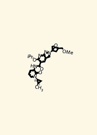 COCC12CC(n3cc4cc(C(=O)Nc5cccn([C@H]6C[C@H]6C)c5=O)c(OC(C)C)nc4n3)(CO1)C2